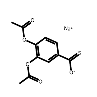 CC(=O)Oc1ccc(C([O-])=S)cc1OC(C)=O.[Na+]